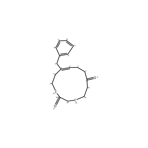 O=C1CCC=C(Cc2ccccc2)CCCC(=O)CCCC1